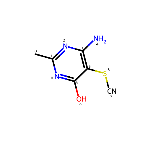 Cc1nc(N)c(SC#N)c(O)n1